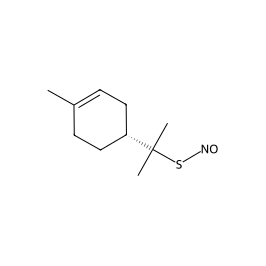 CC1=CC[C@H](C(C)(C)SN=O)CC1